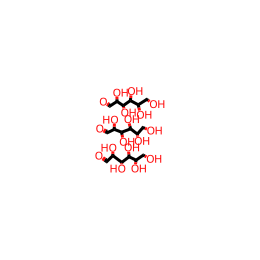 O=CC(O)C(O)C(O)C(O)CO.O=CC(O)C(O)C(O)C(O)CO.O=CC(O)C(O)C(O)C(O)CO